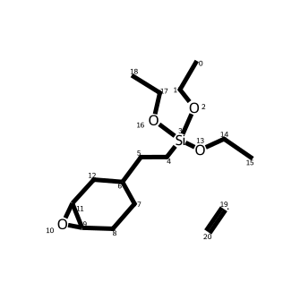 CCO[Si](CCC1CCC2OC2C1)(OCC)OCC.[CH]=C